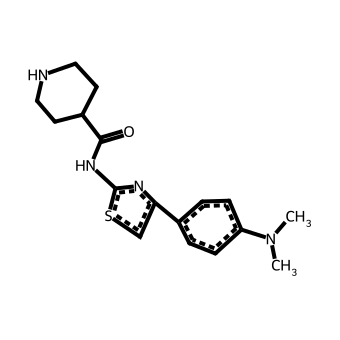 CN(C)c1ccc(-c2csc(NC(=O)C3CCNCC3)n2)cc1